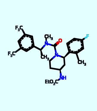 CCOC(=O)N[C@H]1CCN(C(=O)N(C)[C@@H](C)c2cc(C(F)(F)F)cc(C(F)(F)F)c2)[C@@H](c2ccc(F)cc2C)C1